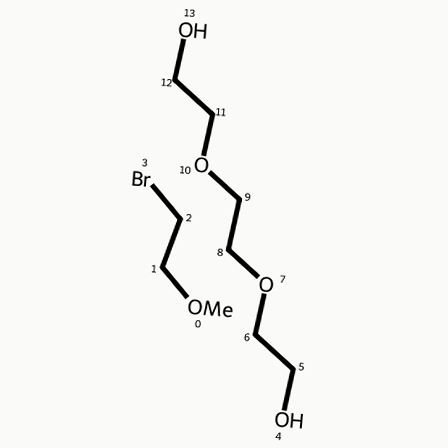 COCCBr.OCCOCCOCCO